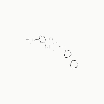 Nc1ccc(OCCCOc2ccc(-c3ccccc3)cc2)c(N)c1